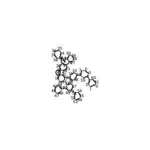 c1ccc(-c2cccc(-c3ccc(-c4cccc5oc6cc7c(cc6c45)c4ccccc4n7-c4ccccc4)c(-c4cc(-c5ccccc5)cc(-c5ccccc5)c4)c3)c2)cc1